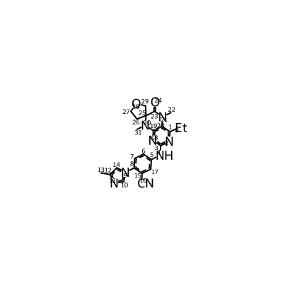 CCc1nc(Nc2ccc(-n3cnc(C)c3)c(C#N)c2)nc2c1N(C)C(=O)C1(CCOC1)N2C